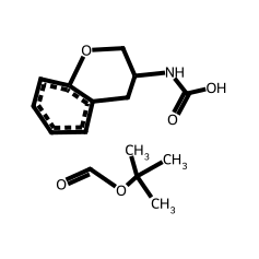 CC(C)(C)OC=O.O=C(O)NC1COc2ccccc2C1